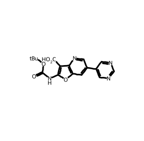 CC(C)(C)OC(=O)Nc1oc2cc(-c3cncnc3)cnc2c1C(=O)O